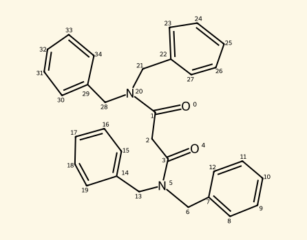 O=C(CC(=O)N(Cc1ccccc1)Cc1ccccc1)N(Cc1ccccc1)Cc1ccccc1